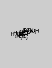 CCCC(CC(O)CO)=C(C)C(=O)O[SiH2]O[Si](C)(C)C